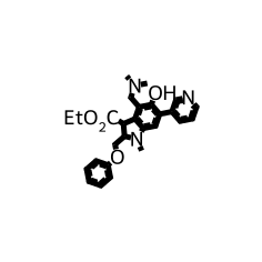 CCOC(=O)C1c2c(cc(-c3cccnc3)c(O)c2CN(C)C)N(C)C1COc1ccccc1